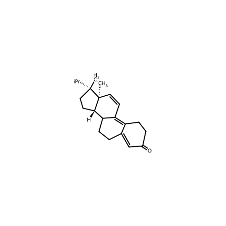 CC(C)[C@@]1(C)CC[C@H]2C3CCC4=CC(=O)CCC4=C3C=C[C@@]21C